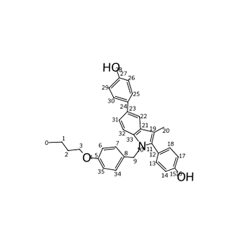 CCCCOc1ccc(Cn2c(-c3ccc(O)cc3)c(C)c3cc(-c4ccc(O)cc4)ccc32)cc1